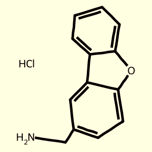 Cl.NCc1ccc2oc3ccccc3c2c1